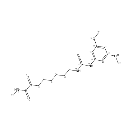 CNC(=O)C(=O)CCCCCCNC(=O)Nc1cc(OC)cc(OC)c1